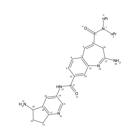 CCCN(CCC)C(=O)C1=Cc2ccc(C(=O)Nc3cnc4c(c3)C(N)CC4)cc2N=C(N)C1